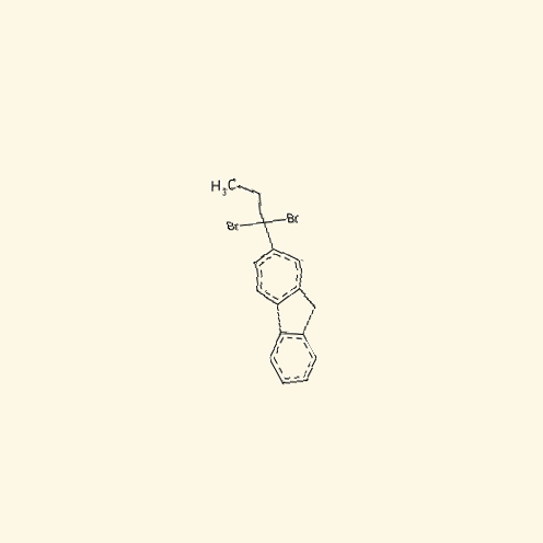 CCC(Br)(Br)c1[c]c2c(cc1)-c1ccccc1C2